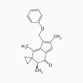 CC1=C(COc2ccccc2)C2=C(C)C3(CC3)[C@H](C)C(=O)C2=C1